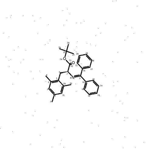 Cc1cc(C)c(C[C@H](N=C(c2ccccc2)c2ccccc2)C(=O)OC(C)(C)C)c(C)c1